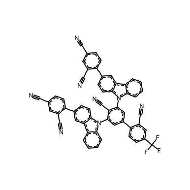 N#Cc1ccc(-c2ccc3c(c2)c2ccccc2n3-c2cc(-c3ccc(C(F)(F)F)cc3C#N)cc(-n3c4ccccc4c4cc(-c5ccc(C#N)cc5C#N)ccc43)c2C#N)c(C#N)c1